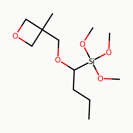 CCCC(OCC1(C)COC1)[Si](OC)(OC)OC